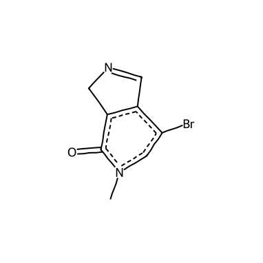 Cn1cc(Br)c2c(c1=O)CN=C2